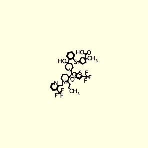 CCC[C@H]1N(Cc2ncccc2C(F)(F)F)CCC[C@@]1(Oc1csc(C(F)(F)F)c1)C(=O)N1CCC(O)(c2ccccc2S[C@@H]2CC[C@@](C)(C(=O)O)C2)CC1